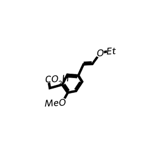 CCO/C=C/c1ccc(OC)c(CC(=O)O)c1